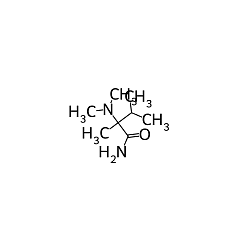 CC(C)C(C)(C(N)=O)N(C)C